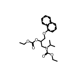 CCOC(=O)OC(COc1cccc2ccccc12)CN(C(=O)OCC)C(C)C